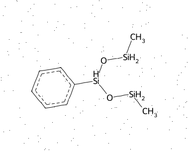 C[SiH2]O[SiH](O[SiH2]C)c1ccccc1